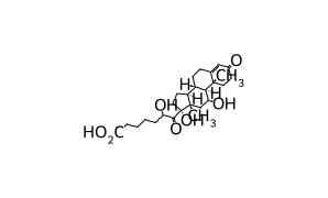 C[C@]12CCC(=O)C=C1CC[C@@H]1[C@@H]2[C@@H](O)C[C@@]2(C)[C@H]1CC[C@]2(O)C(=O)C(O)CCCCC(=O)O